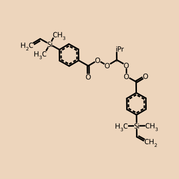 [CH2]C(C)[C](OOC(=O)c1ccc([Si](C)(C)C=C)cc1)OOC(=O)c1ccc([Si](C)(C)C=C)cc1